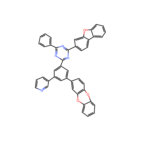 c1ccc(-c2nc(-c3cc(-c4cccnc4)cc(-c4ccc5c(c4)Oc4ccccc4O5)c3)nc(-c3ccc4c(c3)oc3ccccc34)n2)cc1